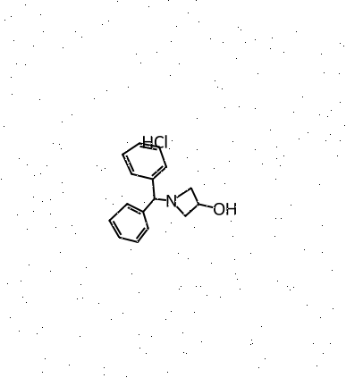 Cl.OC1CN(C(c2ccccc2)c2ccccc2)C1